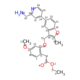 CCOC(=O)Cc1ccc(OC)cc1OCc1c(C)oc2ccc(-c3ccnc(CN)c3)cc12